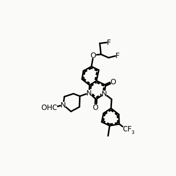 Cc1ccc(Cn2c(=O)c3cc(OC(CF)CF)ccc3n(C3CCN(C=O)CC3)c2=O)cc1C(F)(F)F